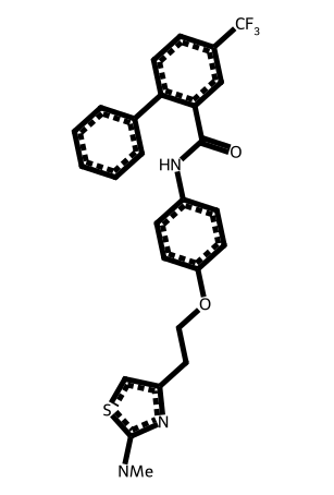 CNc1nc(CCOc2ccc(NC(=O)c3cc(C(F)(F)F)ccc3-c3ccccc3)cc2)cs1